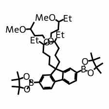 CCC(CCOC(CC)CCCC1(CCCC(CC)OCCC(C)OC)c2cc(B3OC(C)(C)C(C)(C)O3)ccc2-c2ccc(B3OC(C)(C)C(C)(C)O3)cc21)OC